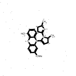 COc1ccc2c(c1)N(C1=CCC(C)N1C1=NC(C)CC1)c1ccccc1S2.Cl